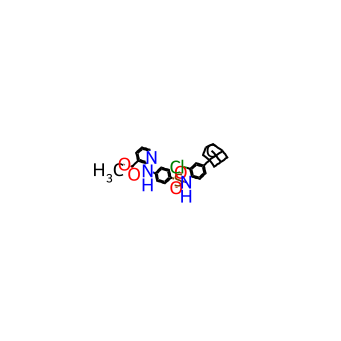 COC(=O)c1cccnc1Nc1ccc(S(=O)(=O)Nc2ccc(C34CC5CC6CC(C3)C64C5)cc2Cl)cc1